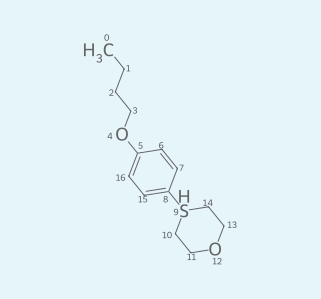 CCCCOc1ccc([SH]2CCOCC2)cc1